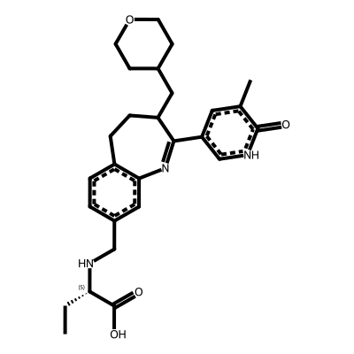 CC[C@H](NCc1ccc2c(c1)N=C(c1c[nH]c(=O)c(C)c1)C(CC1CCOCC1)CC2)C(=O)O